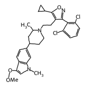 COOc1cn(C)c2cc(C3CCN(CCc4c(-c5c(Cl)cccc5Cl)noc4C4CC4)C(C)C3)ccc12